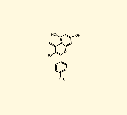 Cc1ccc(-c2oc3cc(O)cc(O)c3c(=O)c2O)cc1